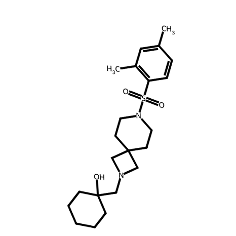 Cc1ccc(S(=O)(=O)N2CCC3(CC2)CN(CC2(O)CCCCC2)C3)c(C)c1